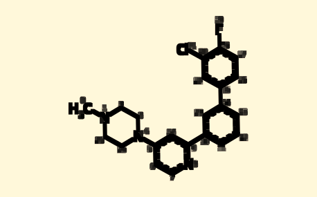 CN1CCN(c2ccnc(-c3cccc(-c4ccc(F)c(Cl)c4)c3)c2)CC1